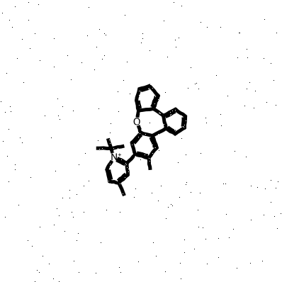 Cc1cc[n+](C(C)(C)C)c(-c2cc3c(cc2C)-c2ccccc2-c2ccccc2O3)c1